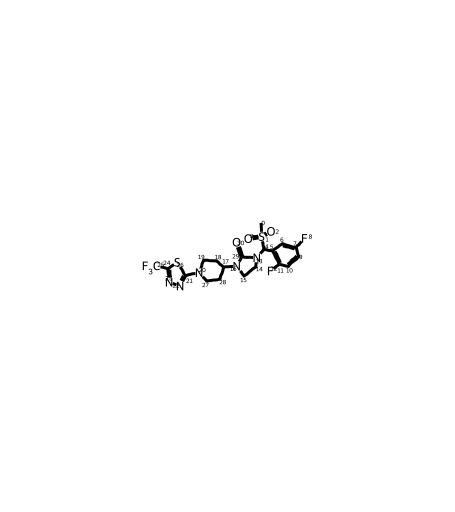 CS(=O)(=O)C(c1cc(F)ccc1F)N1CCN(C2CCN(c3nnc(C(F)(F)F)s3)CC2)C1=O